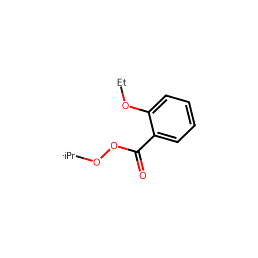 CCOc1ccccc1C(=O)OO[C](C)C